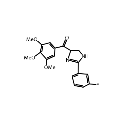 COc1cc(C(=O)C2CNC(c3cccc(F)c3)=N2)cc(OC)c1OC